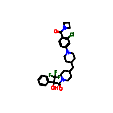 O=C(c1ccc(N2CCC(CC3CCN(C(=O)C(O)(c4ccccc4)C(F)(F)F)CC3)CC2)cc1Cl)N1CCC1